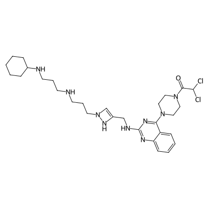 O=C(C(Cl)Cl)N1CCN(c2nc(NCc3cn(CCCNCCCNC4CCCCC4)[nH]3)nc3ccccc23)CC1